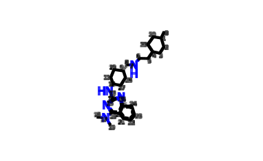 CC1CCC(CCNC[C@H]2CC[C@@H](Nc3nc(N(C)C)c4ccccc4n3)CC2)CC1